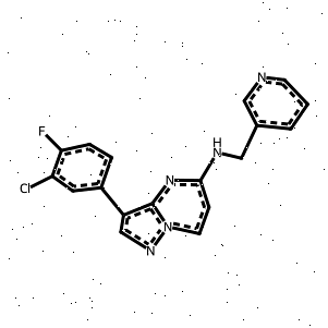 Fc1ccc(-c2cnn3ccc(NCc4cccnc4)nc23)cc1Cl